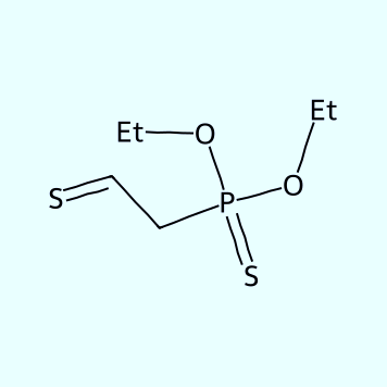 CCOP(=S)(CC=S)OCC